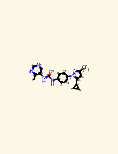 Cc1ncncc1NC(=O)Nc1ccc(-n2nc(C(F)(F)F)cc2C2CC2)cc1